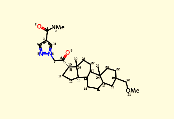 CNC(=O)c1cnn(CC(=O)[C@H]2CCC3C4CCC5CC(COC)CCC5(C)C4CCC32C)c1